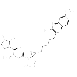 COC[C@@]1(OC(=O)N[C@H](C(=O)N2CC[C@@H](C)[C@H]2C(C)=O)C(C)(C)C)C[C@H]1CCCCCc1nc2ccc(OC)cc2nc1O